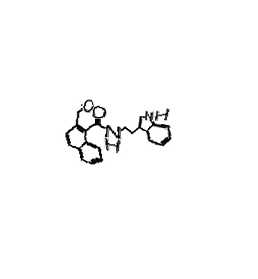 [O]Cc1ccc2ccccc2c1C(=O)NCCc1c[nH]c2ccccc12